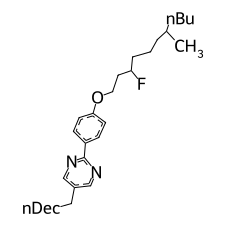 CCCCCCCCCCCc1cnc(-c2ccc(OCCC(F)CCCC(C)CCCC)cc2)nc1